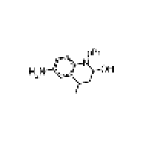 CCCN1c2ccc(N)cc2C(C)CC1O